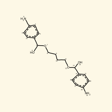 Nc1ccc(C(O)OCCCCOC(O)c2ccc(N)cc2)cc1